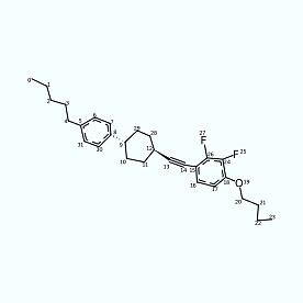 CCCCCc1ccc([C@H]2CC[C@H](C#Cc3ccc(OCCCC)c(F)c3F)CC2)cc1